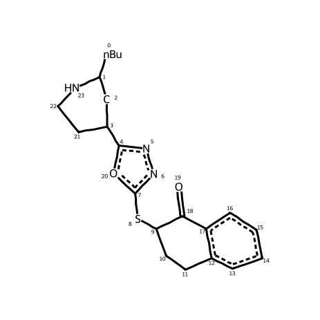 CCCCC1CC(c2nnc(SC3CCc4ccccc4C3=O)o2)CCN1